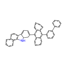 C1=C(c2c3ccccc3c(-c3cccc(-c4ccccc4)c3)c3ccccc23)CC2Nc3c(ccc4ccccc34)C2=C1